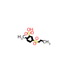 CCCS(=O)(=O)c1ccc(C)c(S(=O)(=O)O)c1